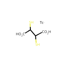 O=C(O)C(S)C(S)C(=O)O.[Tc]